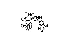 C[C@@H](O)[C@H]1C(=O)N2C(C(=O)O)=C(S[C@@H]3CN[C@@H](c4ccc(C5(N)CC5)cc4)C3)[C@H](C)[C@H]12.Cl